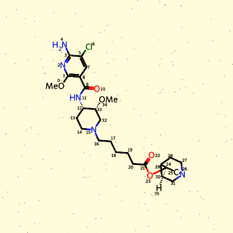 COc1nc(N)c(Cl)cc1C(=O)N[C@H]1CCN(CCCCCC(=O)O[C@@H]2CN3CCC2CC3)C[C@H]1OC